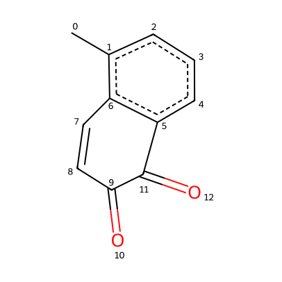 Cc1cccc2c1C=CC(=O)C2=O